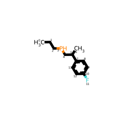 CCCPCC(C)c1ccc(F)cc1